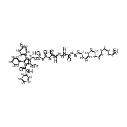 CC/C=C\C/C=C\C/C=C\C/C=C\C/C=C\C/C=C\CCC(=O)NCCNC(=O)C[C@H](O)C[C@H](O)CCn1c(-c2ccc(F)cc2)c(-c2ccccc2)c(C(=O)Nc2ccccc2)c1C(C)C